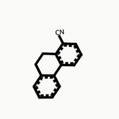 N#Cc1cccc2c1CCc1ccccc1-2